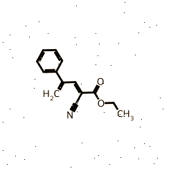 C=C(/C=C(\C#N)C(=O)OCC)c1ccccc1